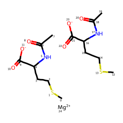 CSCCC(NC(C)=O)C(=O)[O-].CSCCC(NC(C)=O)C(=O)[O-].[Mg+2]